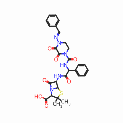 CC1(C)SC2[C@H](NC(=O)C(NC(=O)N3CCN(N=Cc4ccccc4)C(=O)C3=O)c3ccccc3)C(=O)N2C1C(=O)O